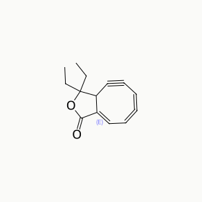 CCC1(CC)OC(=O)/C2=C/C=C=CC#CC21